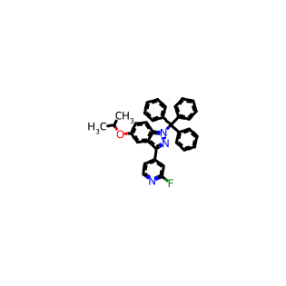 CC(C)Oc1ccc2c(c1)c(-c1ccnc(F)c1)nn2C(c1ccccc1)(c1ccccc1)c1ccccc1